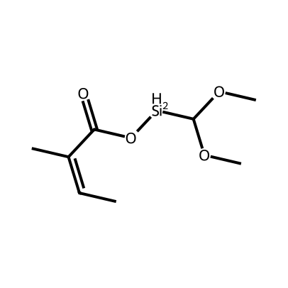 CC=C(C)C(=O)O[SiH2]C(OC)OC